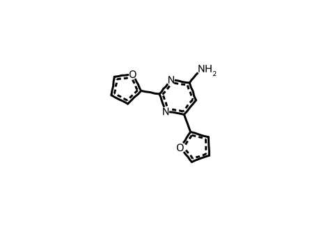 Nc1cc(-c2ccco2)nc(-c2ccco2)n1